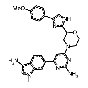 COc1ccc(-c2c[nH]c(C3CN(c4cc(-c5ccc6c(N)n[nH]c6c5)nc(N)n4)CCO3)n2)cc1